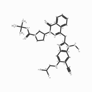 CC(C)(C)OC(=O)N1CCC(n2nc(Cc3nc4cc(OCC(F)F)c(C#N)cc4n3SF)c3ccccc3c2=O)C1